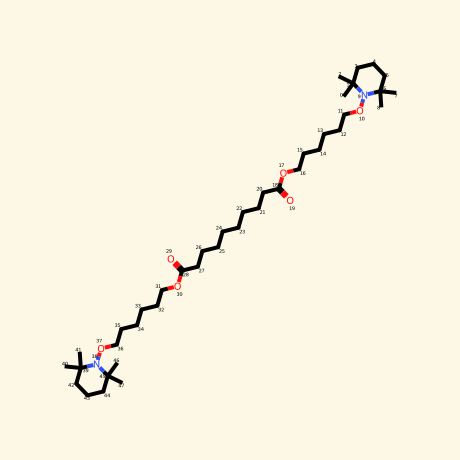 CC1(C)CCCC(C)(C)N1OCCCCCCOC(=O)CCCCCCCCC(=O)OCCCCCCON1C(C)(C)CCCC1(C)C